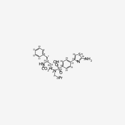 CC(C)CN(C[C@@H](O)[C@H](Cc1ccccc1)NC(=O)O)S(=O)(=O)c1ccc(-c2csc(N)n2)cc1